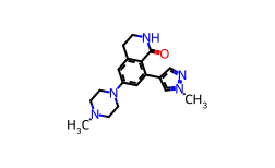 CN1CCN(c2cc3c(c(-c4cnn(C)c4)c2)C(=O)NCC3)CC1